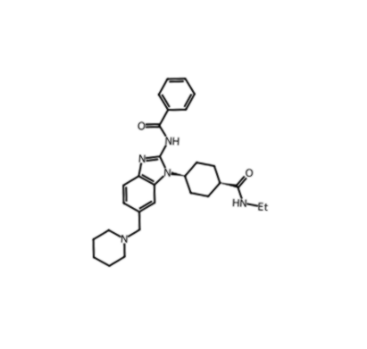 CCNC(=O)[C@H]1CC[C@@H](n2c(NC(=O)c3ccccc3)nc3ccc(CN4CCCCC4)cc32)CC1